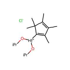 CC1=C(C)C(C)(C)[C]([Hf+]([O]C(C)C)[O]C(C)C)=C1C.[Cl-]